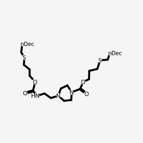 CCCCCCCCCCCSCCCOC(=O)NCCN1CCN(C(=O)OCCCSCCCCCCCCCCC)CC1